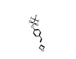 C1=COC1.C=Cc1ccc(OS(=O)(=O)C(F)(F)F)cc1